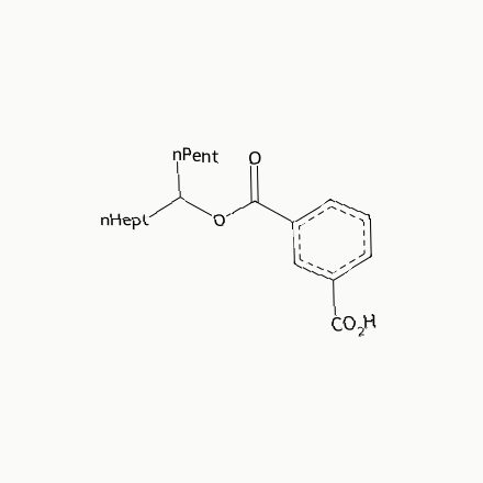 CCCCCCCC(CCCCC)OC(=O)c1cccc(C(=O)O)c1